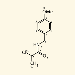 COc1ccc(CNC(=O)C(C)Cl)cc1